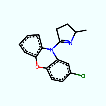 CC1CCC(N2c3ccccc3Oc3ccc(Cl)cc32)=N1